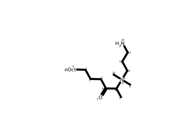 CCCCCCCCCCCC(=O)C(C)[N+](C)(C)CCCN